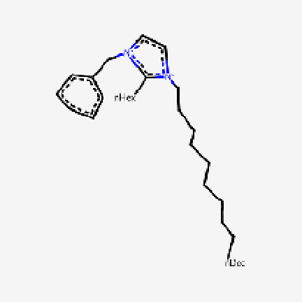 CCCCCCCCCCCCCCCCCCC[n+]1ccn(Cc2ccccc2)c1CCCCCC